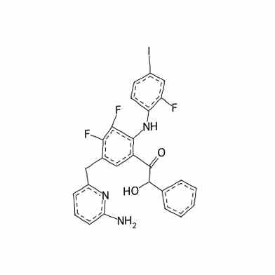 Nc1cccc(Cc2cc(C(=O)C(O)c3ccccc3)c(Nc3ccc(I)cc3F)c(F)c2F)n1